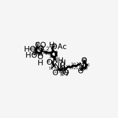 CC(=O)OCc1ccc(NC(=O)[C@H](C)NC(=O)[C@@H](NC(=O)CCCCCN2C(=O)C=CC2=O)C(C)C)cc1C#C[C@@H]1O[C@H](C(=O)O)[C@H](O)[C@H](O)[C@@H]1O